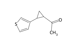 CC(=O)C1CC1c1ccsc1